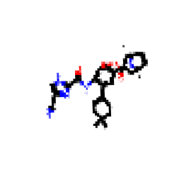 COC(=O)N1[C@@]2(C)C=C[C@]1(C)CC(c1ccc(NC(=O)c3nc(C#N)c[nH]3)c(C3=CCC(C)(C)CC3)c1)C2